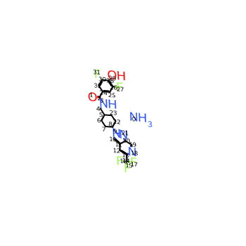 N.O=C(NCC1CCC(n2cc3cc(C(F)(F)F)ncc3n2)CC1)c1cc(F)c(O)c(F)c1